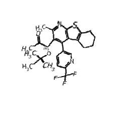 CC(=O)[C@@H](OC(C)(C)C)c1c(C)nc2sc3c(c2c1-c1ccc(C(F)(F)F)nc1)CCCC3